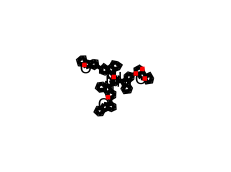 c1ccc2c(c1)oc1cc(-c3ccc4c(c3)c3ccccc3n4-c3nc(-n4c5ccccc5c5cc(-c6cccc7c6oc6ccccc67)ccc54)cc(-n4c5ccccc5c5cc(-c6cccc7c6oc6ccccc67)ccc54)n3)ccc12